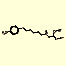 CC(C)OC(O[SiH2]CCCCCCc1ccc(C(F)(F)F)cc1)OC(C)C